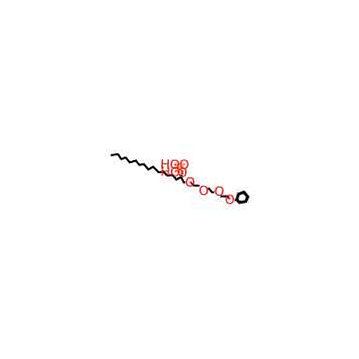 CCCCCCCCCCCCCCCC(COCCOCCOCCOc1ccccc1)OP(=O)(O)O